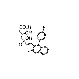 Cc1cc2ccccc2c(-c2ccc(F)cc2)c1C=CP(=O)(O)CC(O)CC(=O)O